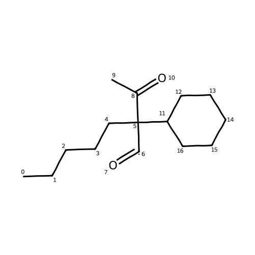 CCCCCC([C]=O)(C(C)=O)C1CCCCC1